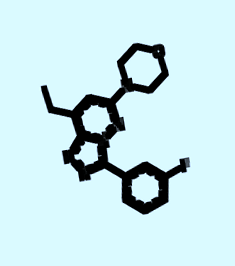 CCc1cc(N2CCOCC2)nn2c(-c3cccc(F)c3)nnc12